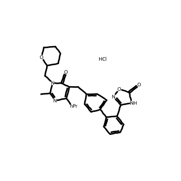 CCCc1nc(C)n(CC2CCCCO2)c(=O)c1Cc1ccc(-c2ccccc2-c2noc(=O)[nH]2)cc1.Cl